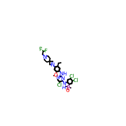 CCc1cc(Nc2ncc(Cl)c(Nc3cc(Cl)c(Cl)cc3P(C)(C)=O)n2)c(OC)cc1N1CC2(CCN(CC(F)F)CC2)C1